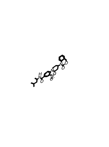 CC(C)CC(C)NC(=O)c1ccc(N2CCC(N3C(=O)OCc4ccccc43)CC2)c([N+](=O)[O-])c1